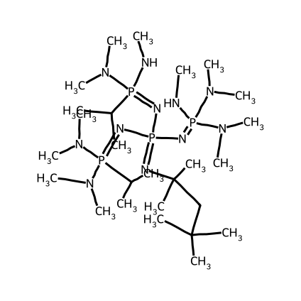 CNP(=NP(=NC(C)(C)CC(C)(C)C)(N=P(NC)(N(C)C)N(C)C)N=P(C(C)C)(N(C)C)N(C)C)(C(C)C)N(C)C